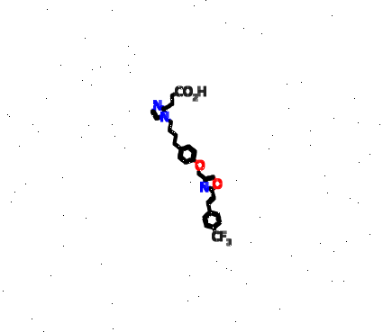 O=C(O)CCc1nccn1CCCCc1ccc(OCc2coc(C=Cc3ccc(C(F)(F)F)cc3)n2)cc1